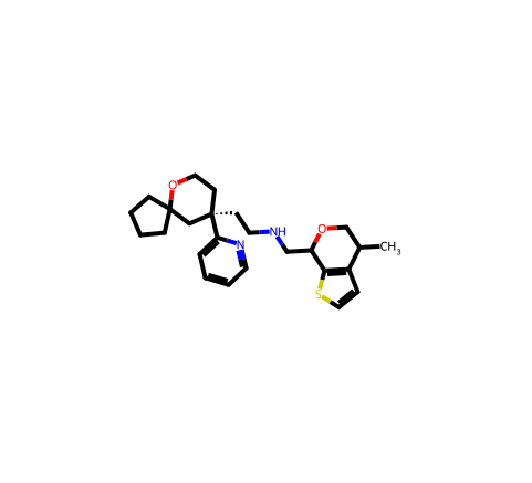 CC1COC(CNCC[C@@]2(c3ccccn3)CCOC3(CCCC3)C2)c2sccc21